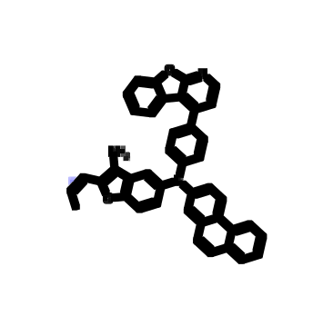 C/C=C\c1oc2ccc(N(c3ccc(-c4ccnc5oc6ccccc6c45)cc3)c3ccc4c(ccc5ccccc54)c3)cc2c1N